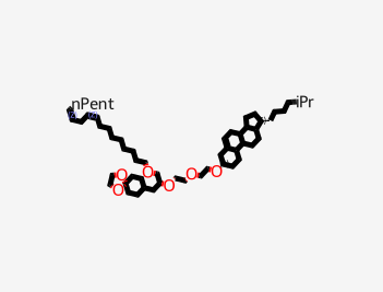 CCCCC/C=C\C/C=C\CCCCCCCCOCC(CC1CCC2(CC1)OCCO2)OCCOCCO[C@H]1CCC2C(=CCC3C2CCC2C3CC[C@@H]2CCCCC(C)C)C1